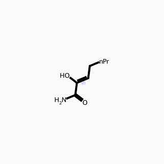 CCCC/C=C(\O)C(N)=O